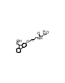 O=CNCC(=O)NC/C=C/COc1ccc2c(c1)/C(=N\O)c1ccccc1-2